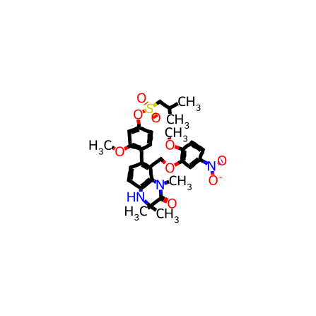 COc1ccc([N+](=O)[O-])cc1OCc1c(-c2ccc(OS(=O)(=O)CC(C)C)cc2OC)ccc2c1N(C)C(=O)C(C)(C)N2